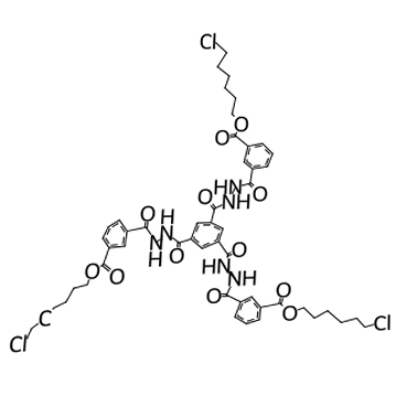 O=C(NNC(=O)c1cccc(C(=O)OCCCCCCCl)c1)c1cc(C(=O)NNC(=O)c2cccc(C(=O)OCCCCCCCl)c2)cc(C(=O)NNC(=O)c2cccc(C(=O)OCCCCCCCl)c2)c1